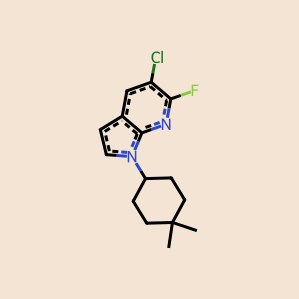 CC1(C)CCC(n2ccc3cc(Cl)c(F)nc32)CC1